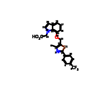 Cc1nc(-c2ccc(C(F)(F)F)cc2)sc1COc1cccc2ccn(CC(=O)O)c12